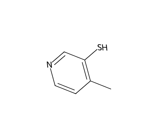 Cc1ccncc1S